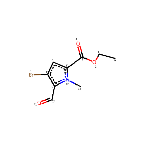 CCOC(=O)c1cc(Br)c(C=O)n1C